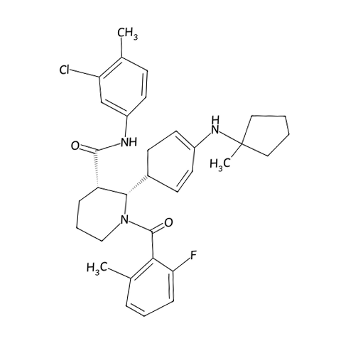 Cc1ccc(NC(=O)[C@H]2CCCN(C(=O)c3c(C)cccc3F)[C@H]2C2C=CC(NC3(C)CCCC3)=CC2)cc1Cl